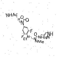 CCN(CCN(NC)C(=O)NCc1c[nH]nn1)c1c(F)cc(N2C[C@H](CNC(C)=O)OC2=O)cc1F